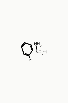 Fc1ccccc1.NC(=O)O